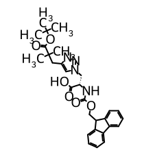 CC(C)(C)OC(=O)C(C)(C)Cc1cn(C[C@H](NC(=O)OCC2c3ccccc3-c3ccccc32)C(=O)O)nn1